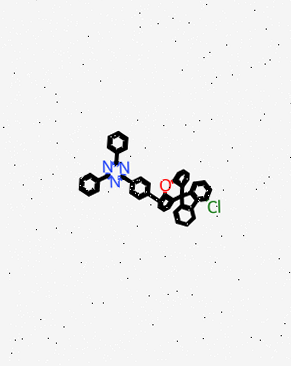 Clc1cccc2c1C1=C(C=CCC1)C21c2ccccc2Oc2c(-c3ccc(-c4nc(-c5ccccc5)nc(-c5ccccc5)n4)cc3)cccc21